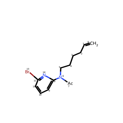 C=CCCCCN(C(C)=O)c1cccc(Br)n1